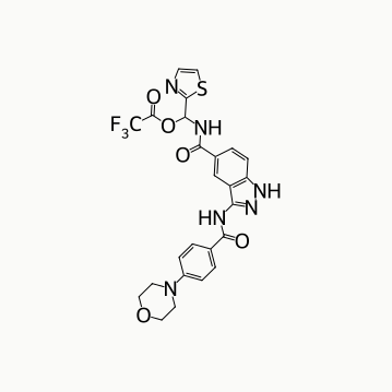 O=C(Nc1n[nH]c2ccc(C(=O)NC(OC(=O)C(F)(F)F)c3nccs3)cc12)c1ccc(N2CCOCC2)cc1